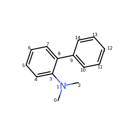 CN(C)c1ccccc1-c1cc[c]cc1